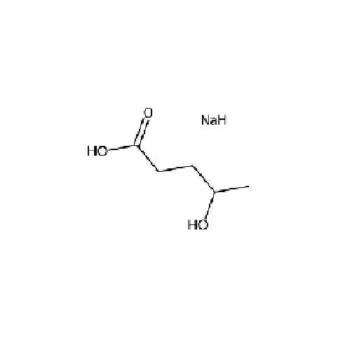 CC(O)CCC(=O)O.[NaH]